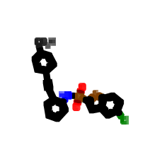 O=C(O)c1ccc(C#Cc2ccccc2NS(=O)(=O)c2cc3cc(Cl)ccc3s2)cc1